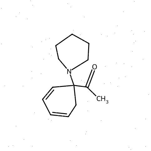 CC(=O)C1(N2CCCCC2)C=CC=CC1